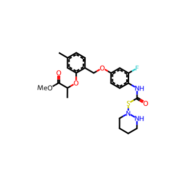 COC(=O)C(C)Oc1cc(C)ccc1COc1ccc(NC(=O)SN2CCCCN2)c(F)c1